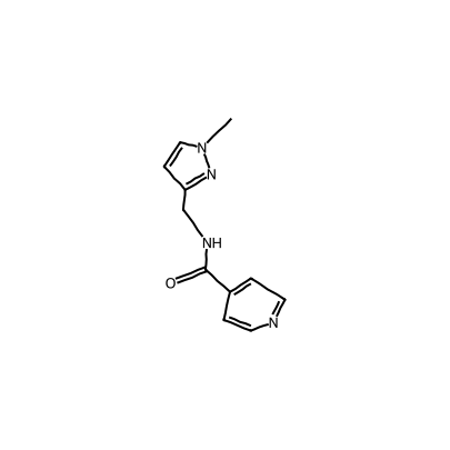 Cn1ccc(CNC(=O)c2ccncc2)n1